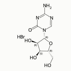 Br.Nc1ncn([C@@H]2O[C@H](CO)[C@@H](O)[C@H]2O)c(=O)n1